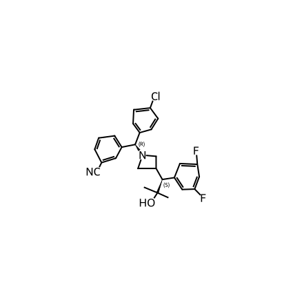 CC(C)(O)[C@H](c1cc(F)cc(F)c1)C1CN([C@H](c2ccc(Cl)cc2)c2cccc(C#N)c2)C1